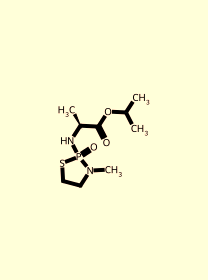 CC(C)OC(=O)[C@H](C)NP1(=O)SCCN1C